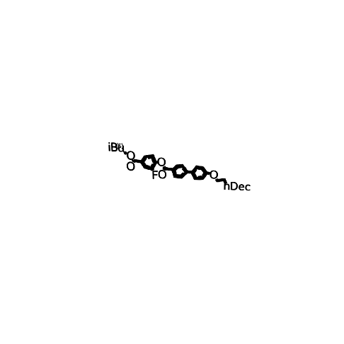 CCCCCCCCCCCCOc1ccc(-c2ccc(C(=O)Oc3ccc(C(=O)OC[C@@H](C)CC)cc3F)cc2)cc1